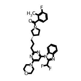 Cc1c(F)cccc1C(=O)N1CC[C@H](CCCc2nc(N3CCOCC3)cc(-n3c(C(F)F)nc4ccccc43)n2)C1